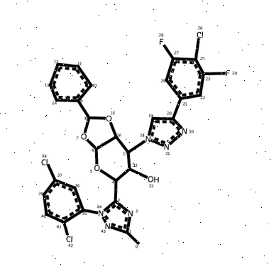 Cc1nc(C2OC3OC(c4ccccc4)OC3C(n3cc(-c4cc(F)c(Cl)c(F)c4)nn3)C2O)n(-c2cc(Cl)ccc2Cl)n1